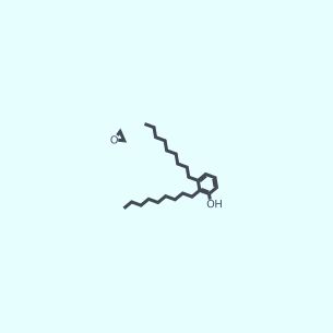 C1CO1.CCCCCCCCCc1cccc(O)c1CCCCCCCCC